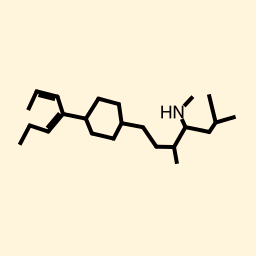 C/C=C\C(=C/CC)C1CCC(CCC(C)C(CC(C)C)NC)CC1